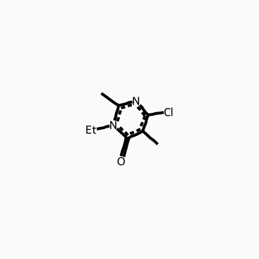 CCn1c(C)nc(Cl)c(C)c1=O